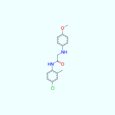 COc1ccc(NCC(=O)Nc2ccc(Cl)cc2C)cc1